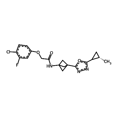 C[C@H]1CC1c1nnc(C23CC(NC(=O)COc4ccc(Cl)c(F)c4)(C2)C3)o1